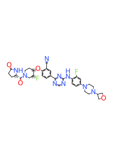 N#Cc1cc(-c2ncnc(Nc3ccc(N4CCN(C5COC5)CC4)cc3F)n2)ccc1O[C@H]1CCN(C(=O)[C@@H]2CCC(=O)N2)C[C@H]1F